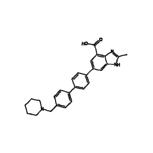 Cc1nc2c(C(=O)O)cc(-c3ccc(-c4ccc(CN5CCCCC5)cc4)cc3)cc2[nH]1